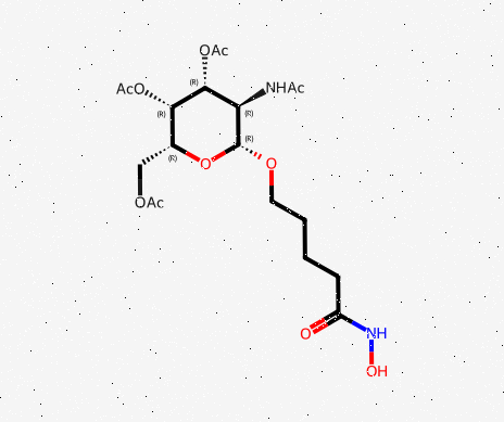 CC(=O)N[C@H]1[C@H](OCCCCC(=O)NO)O[C@H](COC(C)=O)[C@H](OC(C)=O)[C@@H]1OC(C)=O